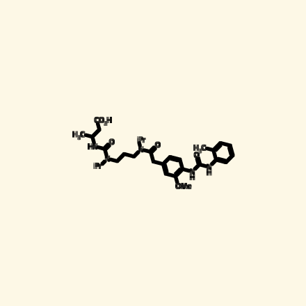 COc1cc(CC(=O)N(CCCN(C(=O)NC(C)CC(=O)O)C(C)C)C(C)C)ccc1NC(=O)Nc1ccccc1C